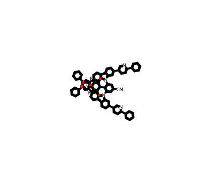 N#Cc1cc(-n2c3cc(-c4ccc(-c5ccccc5)nc4)ccc3c3ccc(-c4ccc(-c5ccccc5)nc4)cc32)c(-c2c(F)c(F)c(F)c(F)c2F)c(-n2c3cc(-c4ccc(-c5ccccc5)nc4)ccc3c3ccc(-c4ccc(-c5ccccc5)nc4)cc32)c1